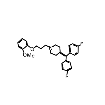 COc1ccccc1OCCCN1CCC(=C(c2ccc(F)cc2)c2ccc(F)cc2)CC1